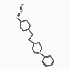 [N-]=[N+]=NC1CCC(CCN2CCN(c3[c]cccc3)CC2)CC1